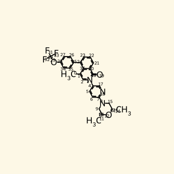 Cc1cn(-c2ccc(N3C[C@@H](C)O[C@@H](C)C3)nc2)c(=O)c2cccc(-c3ccc(OC(F)(F)F)cc3)c12